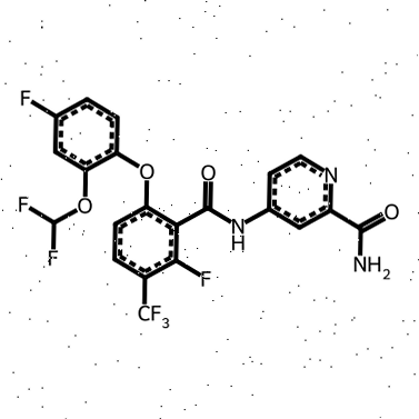 NC(=O)c1cc(NC(=O)c2c(Oc3ccc(F)cc3OC(F)F)ccc(C(F)(F)F)c2F)ccn1